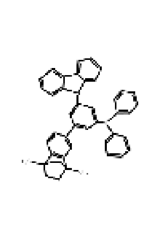 CC12CCC(C)(CC1)c1cc(-c3cc(N(c4ccccc4)c4ccccc4)cc(-n4c5ccccc5c5ccccc54)c3)ccc12